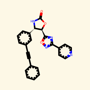 O=C1N[C@@H](c2cccc(C#Cc3ccccc3)c2)[C@H](c2nc(-c3ccncc3)no2)O1